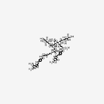 CNC(=O)[C@H](CSSCCOC(=O)CCC(NC(=O)c1ccc(NCc2cnc3nc(N)nc(N)c3n2)cc1)C(=O)O)NC(=O)[C@H](CCC(=O)NC[C@H](O)[C@@H](O)[C@H](O)[C@H](O)CO)NC(=O)[C@H](CCC(=O)O)NC(=O)[C@H](CCC(=O)NC[C@H](O)[C@@H](O)[C@H](O)[C@H](O)CO)NC(=O)CC[C@H](NC(=O)c1ccc(NCc2cnc3nc(N)[nH]c(=O)c3n2)cc1)C(=O)O